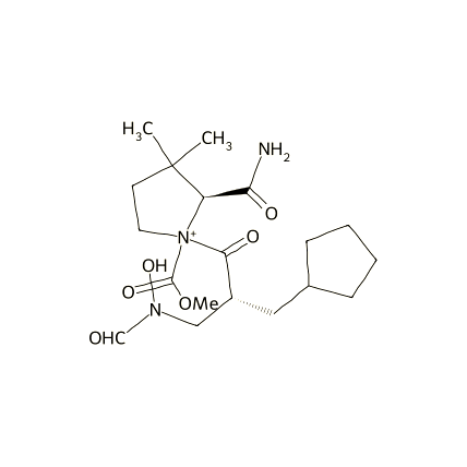 COC(=O)[N+]1(C(=O)[C@H](CC2CCCC2)CN(O)C=O)CCC(C)(C)[C@H]1C(N)=O